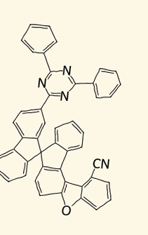 N#Cc1cccc2oc3ccc4c(c3c12)-c1ccccc1C41c2ccccc2-c2ccc(-c3nc(-c4ccccc4)nc(-c4ccccc4)n3)cc21